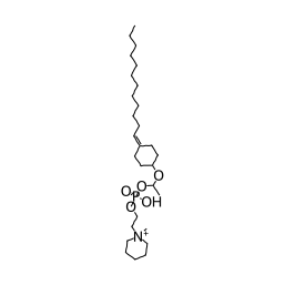 CCCCCCCCCCCC=C1CCC(OC(C)OP(=O)(O)OCC[N+]2(C)CCCCC2)CC1